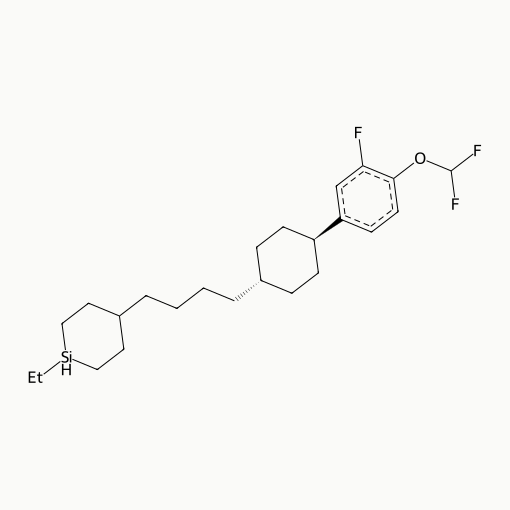 CC[SiH]1CCC(CCCC[C@H]2CC[C@H](c3ccc(OC(F)F)c(F)c3)CC2)CC1